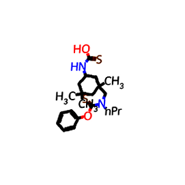 CCCN(CC1(C)CC(NC(O)=S)CC(C)(C)C1)C(=S)Oc1ccccc1